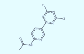 CC(=O)Nc1ccc(-c2nc(Cl)nc(Cl)n2)cn1